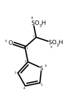 O=C(c1cccs1)C(S(=O)(=O)O)S(=O)(=O)O